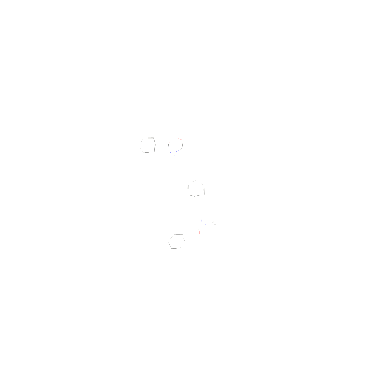 Cc1oc(-c2ccccc2)nc1CCOc1cccc(C[C@@H]2C[C@@H](C(=O)O)N(C(=O)Oc3ccccc3)C2)c1